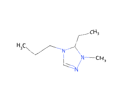 CCCN1C=NN(C)C1CC